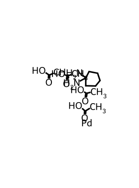 CC(=O)O.CC(=O)O.CC(=O)O.CC(=O)O.NC1(N)CCCCC1.[Pd]